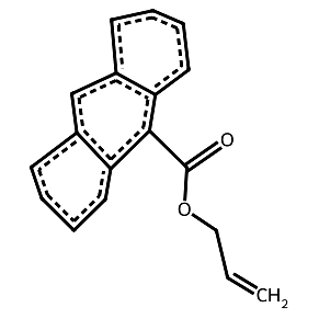 C=CCOC(=O)c1c2ccccc2cc2ccccc12